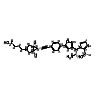 C[C@H](O)c1nccn1[C@H](CN)c1cc(-c2ccc(C#C[C@@H]3[C@H]4CN(CCCC(=O)O)C[C@@H]34)cc2)on1